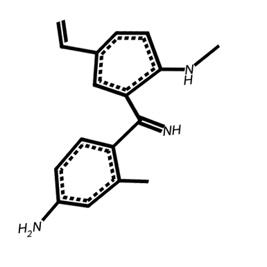 C=Cc1ccc(NC)c(C(=N)c2ccc(N)cc2C)c1